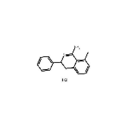 Cc1cccc2c1C(N)=NC(c1ccccc1)C2.Cl